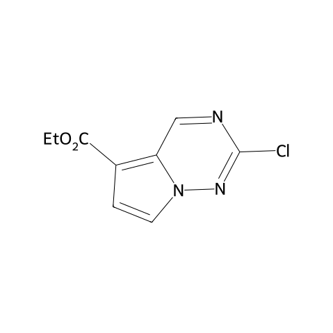 CCOC(=O)c1ccn2nc(Cl)ncc12